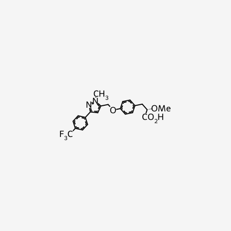 CO[C@@H](Cc1ccc(OCc2cc(-c3ccc(C(F)(F)F)cc3)nn2C)cc1)C(=O)O